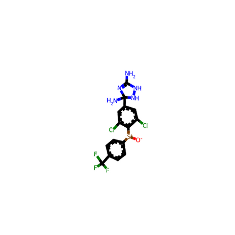 NC1=NC(N)(c2cc(Cl)c([S+]([O-])c3ccc(C(F)(F)F)cc3)c(Cl)c2)NN1